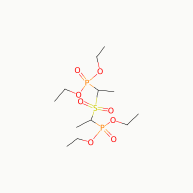 CCOP(=O)(OCC)C(C)S(=O)(=O)C(C)P(=O)(OCC)OCC